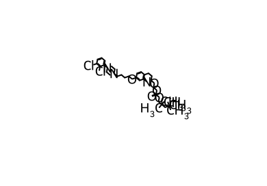 CC(C)(C)CC(C)(C)COC(=O)OCOC1=Nc2cc(OCCCCN3CCN(c4cccc(Cl)c4Cl)CC3)ccc2CC1